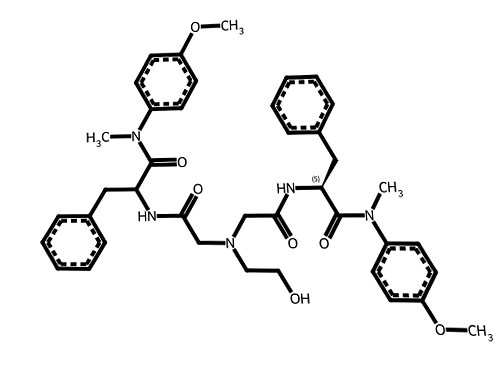 COc1ccc(N(C)C(=O)C(Cc2ccccc2)NC(=O)CN(CCO)CC(=O)N[C@@H](Cc2ccccc2)C(=O)N(C)c2ccc(OC)cc2)cc1